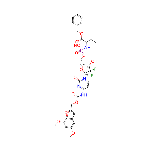 COc1cc(OC)c2oc(COC(=O)Nc3ccn([C@@H]4O[C@H](COP(=O)(O)NC(C(=O)OCc5ccccc5)C(C)C)[C@@H](O)C4(F)F)c(=O)n3)cc2c1